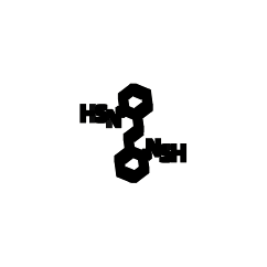 SN=C1CC=CC=C1C=CC1=CC=CCC1=NS